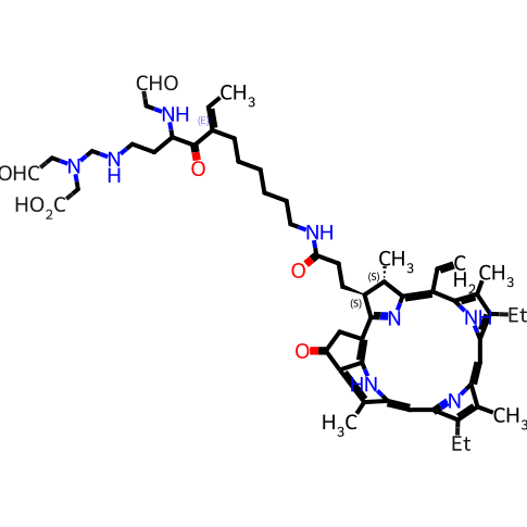 C=Cc1c2nc(c3c4[nH]c(cc5nc(cc6[nH]c1c(C)c6CC)C(C)=C5CC)c(C)c4C(=O)C3)[C@@H](CCC(=O)NCCCCCC/C(=C\C)C(=O)C(CCNCN(CC=O)CC(=O)O)NCC=O)[C@@H]2C